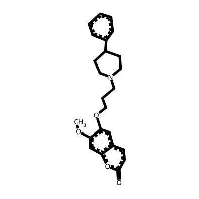 COc1cc2oc(=O)ccc2cc1OCCCN1CCC(c2ccccc2)CC1